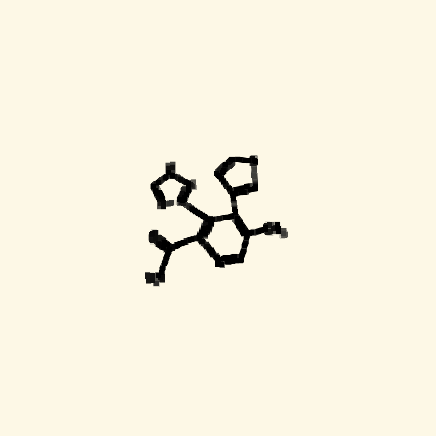 Cc1cnc(C(N)=O)c(-c2nc[nH]n2)c1-c1ccsc1